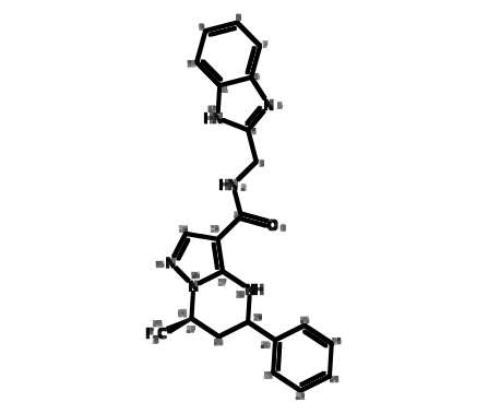 O=C(NCc1nc2ccccc2[nH]1)c1cnn2c1NC(c1ccccc1)C[C@H]2C(F)(F)F